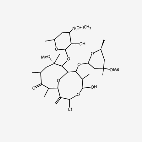 C=C1C(CC)OC(O)C(C)C(OC2CC(C)(OC)C[C@H](C)O2)C2OC1C(C)C(=O)C(C)C[C@](C)(OC)C2OC1OC(C)CC(N(C)O)C1O